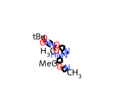 COc1cc(Nc2ncnc3cccc(O[C@H](C)C(=O)N4CCN(C(=O)OC(C)(C)C)CC4)c23)ccc1Oc1ccc(C)nc1